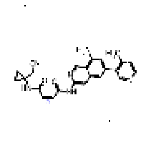 Cc1ccncc1-c1cc(N)c2cnc(NC(=O)/C=C\C(=O)NC3(CC#N)CC3)cc2c1